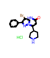 Cl.O=c1cc(C2CCNCC2)n2nc(-c3ccccc3)c(Br)c2[nH]1